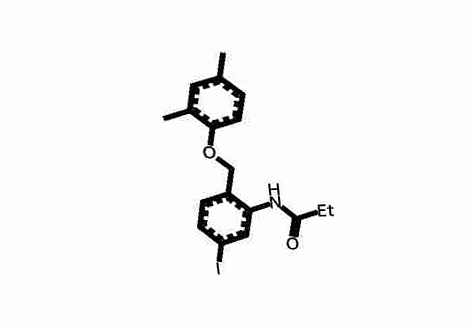 CCC(=O)Nc1cc(I)ccc1COc1ccc(C)cc1C